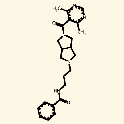 Cc1ncnc(C)c1C(=O)N1CC2CN(CCCNC(=O)c3ccccc3)CC2C1